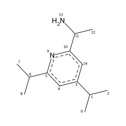 CC(C)c1cc(C(C)C)nc(C(C)N)c1